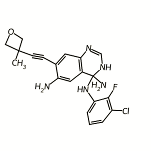 CC1(C#Cc2cc3c(cc2N)C(N)(Nc2cccc(Cl)c2F)NC=N3)COC1